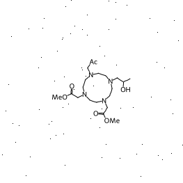 COC(=O)CN1CCN(CC(C)=O)CCN(CC(C)O)CCN(CC(=O)OC)CC1